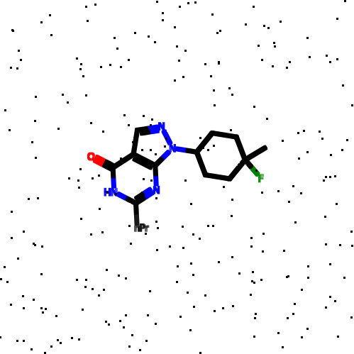 CCCc1nc2c(cnn2C2CCC(C)(F)CC2)c(=O)[nH]1